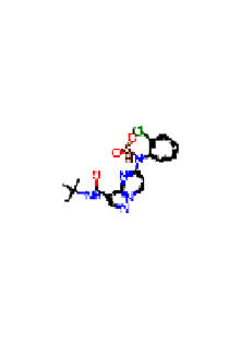 CC(C)(C)NC(=O)c1cnn2ccc(N(c3ccccc3Cl)[SH](=O)=O)nc12